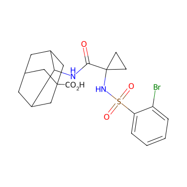 O=C(O)C12CC3CC(C1)C(NC(=O)C1(NS(=O)(=O)c4ccccc4Br)CC1)C(C3)C2